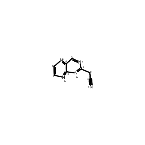 N#CCc1ncc2nccnc2n1